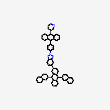 c1cncc(-c2c3ccccc3c(-c3ccc(-n4nc5ccc(-c6ccc7c(-c8ccc9ccccc9c8)c8ccccc8c(-c8ccc9ccccc9c8)c7c6)cc5n4)cc3)c3ccccc23)c1